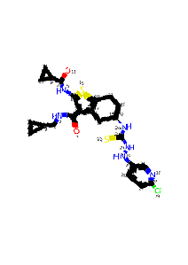 O=C(NCC1CC1)c1c(NC(=O)C2CC2)sc2c1C[C@@H](NC(=S)NNc1ccc(Cl)nc1)CC2